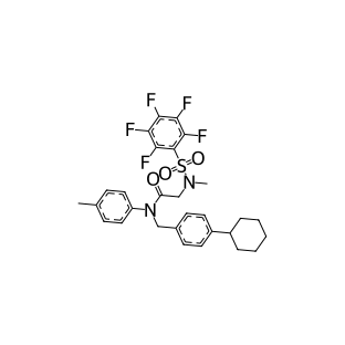 Cc1ccc(N(Cc2ccc(C3CCCCC3)cc2)C(=O)CN(C)S(=O)(=O)c2c(F)c(F)c(F)c(F)c2F)cc1